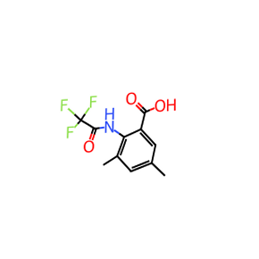 Cc1cc(C)c(NC(=O)C(F)(F)F)c(C(=O)O)c1